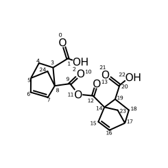 O=C(O)C1CC2C=CC1(C(=O)OC(=O)C13C=CC(CC1C(=O)O)C3)C2